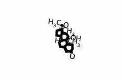 CC(=O)[C@H]1CCC2[C@@H]3CCC4=CC(=O)CC[C@]4(C)C3[C@@H](O)C[C@@]21C